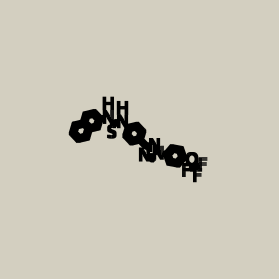 FC(F)(F)Oc1ccc(-n2cnc(-c3ccc(NC(=S)Nc4ccc5ccccc5c4)cc3)n2)cc1